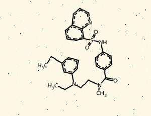 CCc1cccc(N(CC)CCN(C)C(=O)c2ccc(NS(=O)(=O)c3cccc4cccnc34)cc2)c1